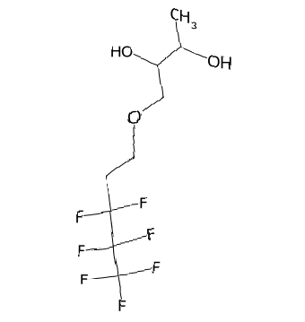 CC(O)C(O)COCCC(F)(F)C(F)(F)C(F)(F)F